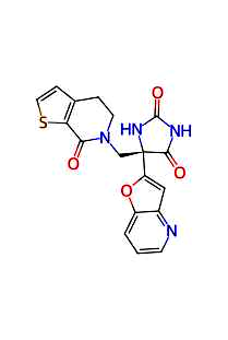 O=C1NC(=O)[C@](CN2CCc3ccsc3C2=O)(c2cc3ncccc3o2)N1